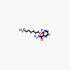 CCCCCCCO[C@@]1(I)N=CC=CC1C(N)=O